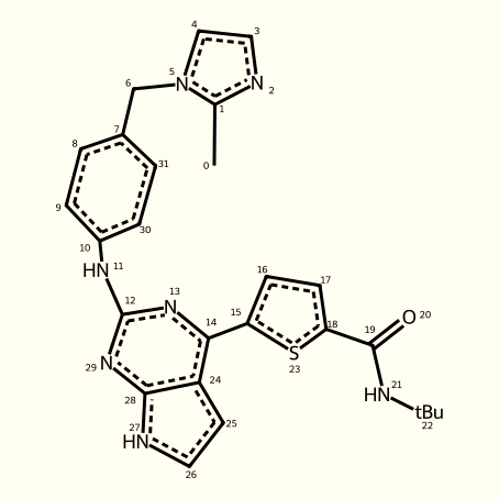 Cc1nccn1Cc1ccc(Nc2nc(-c3ccc(C(=O)NC(C)(C)C)s3)c3cc[nH]c3n2)cc1